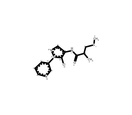 CSCC(C)C(=O)Nc1cnn(-c2cccnc2)c1Cl